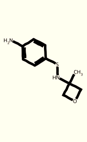 CC1(NSc2ccc(N)cc2)COC1